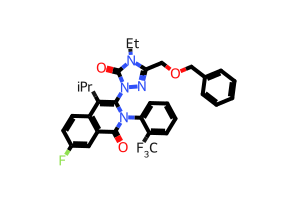 CCn1c(COCc2ccccc2)nn(-c2c(C(C)C)c3ccc(F)cc3c(=O)n2-c2ccccc2C(F)(F)F)c1=O